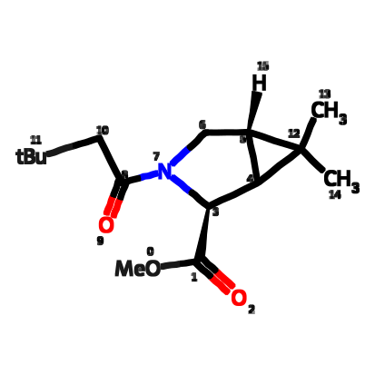 COC(=O)[C@@H]1C2[C@H](CN1C(=O)CC(C)(C)C)C2(C)C